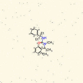 CCC(CC)(NC(=O)N(C)C(C)c1ccccc1C)c1ccccc1